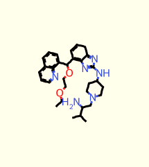 CCOCCOC(C1=C2N=C(NC3CCN(CC(N)C(C)C)CC3)N=C2CC=C1)c1cccc2cccnc12